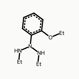 CCNN(NCC)c1ccccc1OCC